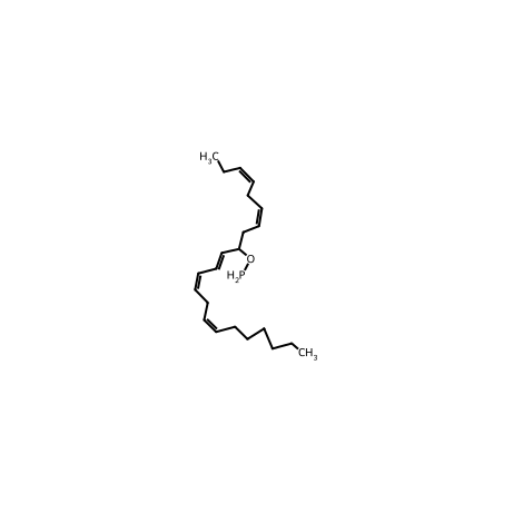 CC/C=C\C/C=C\CC(/C=C/C=C\C/C=C\CCCCCC)OP